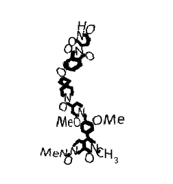 CNC(=O)N1CCc2c(-c3cc(OC)c(CN4CCC(C(=O)N5CCC6(CC5)CC(Oc5ccc7c(c5)C(=O)N(C5CCC(=O)NC5=O)C7=O)C6)CC4)c(OC)c3)cn(C)c(=O)c2C1